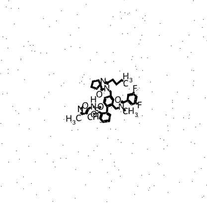 CCCCC1=NC2(CCCC2)C(=O)N1Cc1ccc(-c2ccccc2S(=O)(=O)Nc2onc(C)c2C)c(CN(C)C(=O)c2cc(F)cc(F)c2)c1